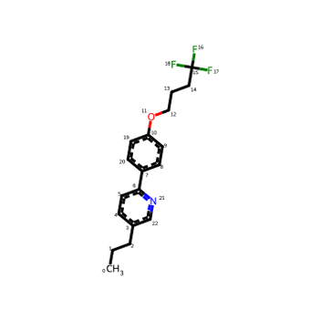 CCCc1ccc(-c2ccc(OCCCC(F)(F)F)cc2)nc1